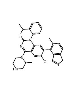 Cc1ccc2c(c1-c1cc3c(cc1Cl)c(N1CCNC[C@@H]1C)nc(=O)n3-c1ccccc1C(C)C)C=NC2